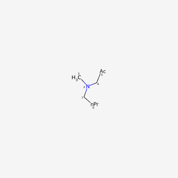 CCCCN(C)CC(C)=O